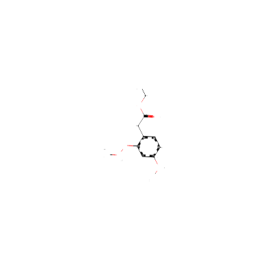 CCOC(=O)Cc1ccc(OC)cc1OOC